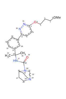 COCCCOc1ccc(-c2cccc(C(C)(C)NC(=O)N3CCN4CCC3CC4)c2)nn1